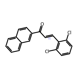 O=C(/C=C/c1c(Cl)cccc1Cl)c1ccc2ccccc2c1